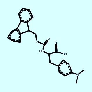 CN(C)c1ccc(CC(NC(=O)OCC2c3ccccc3-c3ccccc32)C(=O)O)cn1